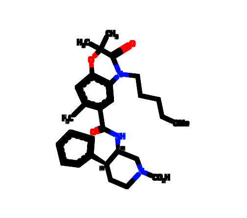 COCCCCN1C(=O)C(C)(C)Oc2cc(C(F)(F)F)c(C(=O)N[C@H]3CN(C(=O)O)CC[C@H]3c3ccccc3)cc21